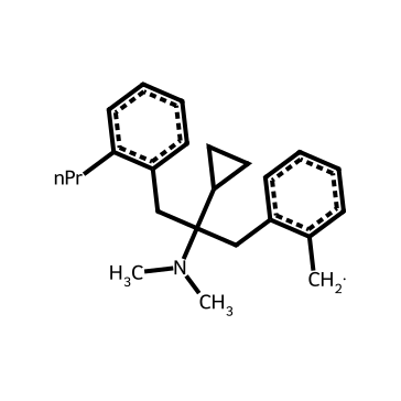 [CH2]c1ccccc1CC(Cc1ccccc1CCC)(C1CC1)N(C)C